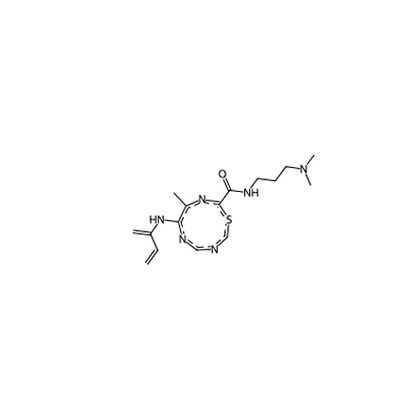 C=CC(=C)Nc1ncncsc(C(=O)NCCCN(C)C)nc1C